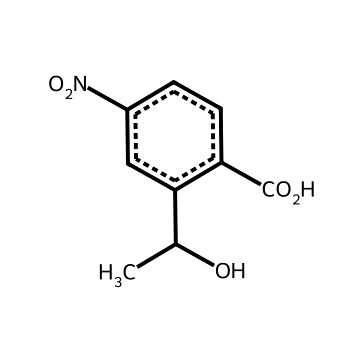 CC(O)c1cc([N+](=O)[O-])ccc1C(=O)O